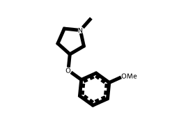 COc1cccc(OC2CCN(C)C2)c1